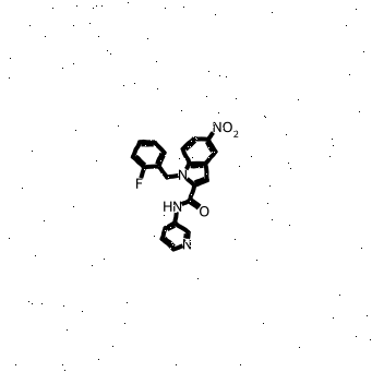 O=C(Nc1cccnc1)c1cc2cc([N+](=O)[O-])ccc2n1Cc1ccccc1F